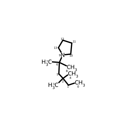 CCC(C)(C)CC(C)(C)N1CCCC1